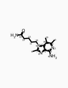 Cc1nc(N)c2nc(C)n(CCCCC(N)=O)c2c1C